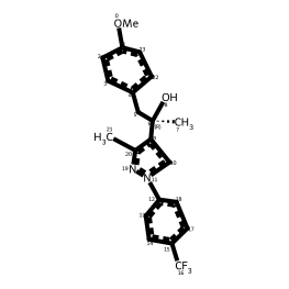 COc1ccc(C[C@@](C)(O)c2cn(-c3ccc(C(F)(F)F)cc3)nc2C)cc1